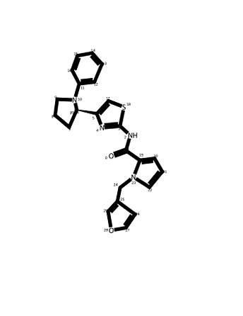 O=C(Nc1nc([C@H]2CCCN2c2ccccc2)cs1)c1cccn1Cc1ccoc1